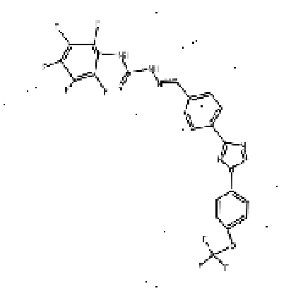 Fc1c(F)c(F)c(NC(=S)N/N=C/c2ccc(-c3ncn(-c4ccc(OC(F)(F)F)cc4)n3)cc2)c(F)c1F